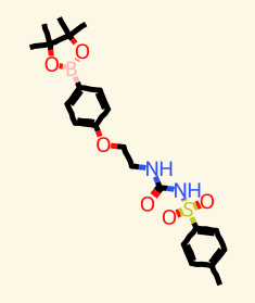 Cc1ccc(S(=O)(=O)NC(=O)NCCOc2ccc(B3OC(C)(C)C(C)(C)O3)cc2)cc1